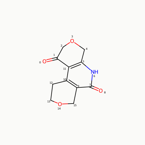 O=C1COCc2[nH]c(=O)c3c(c21)CCOC3